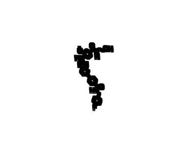 COc1cc(C(=O)NCCO)ccc1Nc1nc2ccc(-c3ccc(C(=O)NCc4ccc(F)cc4)cc3)cn2n1